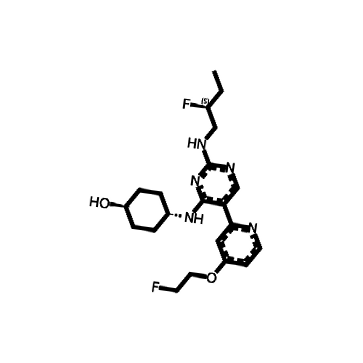 CC[C@H](F)CNc1ncc(-c2cc(OCCF)ccn2)c(N[C@H]2CC[C@H](O)CC2)n1